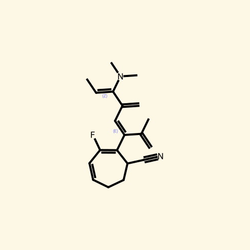 C=C(/C=C(\C(=C)C)C1=C(F)C=CCCC1C#N)/C(=C/C)N(C)C